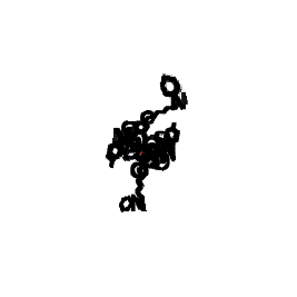 Cc1ccc2c(c1)SC(OC(=O)C(=O)OC1(c3ccc(OCCCCCN(C)C4CCCCC4)cc3)Sc3cc(C)ccc3N(C)C1=O)(c1ccc(OCCCCCN(C)C3CCCCC3)cc1)C(=O)N2C